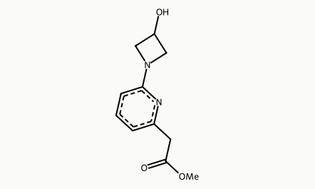 COC(=O)Cc1cccc(N2CC(O)C2)n1